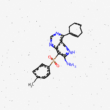 Cc1ccc(S(=O)(=O)c2c(N)[nH]c3c(C4=CCCCC4)ncnc23)cc1